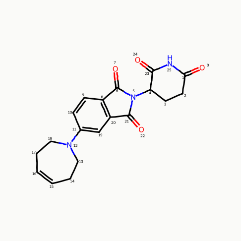 O=C1CCC(N2C(=O)c3ccc(N4CCC=CCC4)cc3C2=O)C(=O)N1